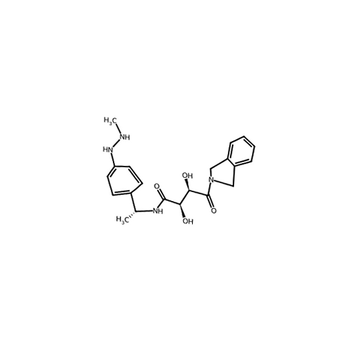 CNNc1ccc([C@@H](C)NC(=O)[C@H](O)[C@@H](O)C(=O)N2Cc3ccccc3C2)cc1